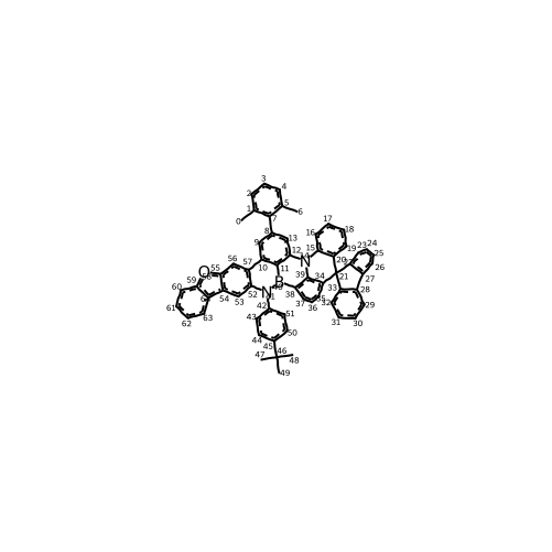 Cc1cccc(C)c1-c1cc2c3c(c1)N1c4ccccc4C4(c5ccccc5-c5ccccc54)c4cccc(c41)B3N(c1ccc(C(C)(C)C)cc1)c1cc3c(cc1-2)oc1ccccc13